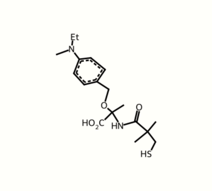 CCN(C)c1ccc(COC(C)(NC(=O)C(C)(C)CS)C(=O)O)cc1